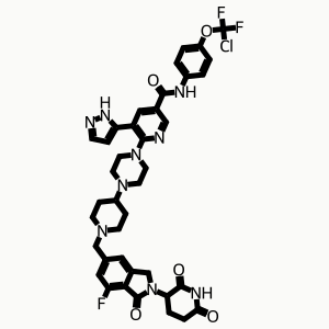 O=C1CCC(N2Cc3cc(CN4CCC(N5CCN(c6ncc(C(=O)Nc7ccc(OC(F)(F)Cl)cc7)cc6-c6ccn[nH]6)CC5)CC4)cc(F)c3C2=O)C(=O)N1